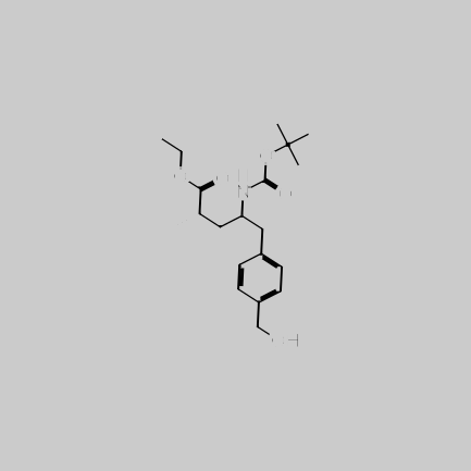 CCOC(=O)[C@@H](C)CC(Cc1ccc(CO)cc1)NC(=O)OC(C)(C)C